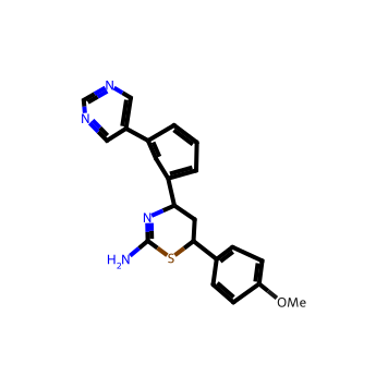 COc1ccc(C2CC(c3cccc(-c4cncnc4)c3)N=C(N)S2)cc1